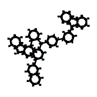 c1cc(-c2ccc(N(c3ccc(-c4ccc5ccccc5c4)cc3)c3ccccc3-c3cccc4sc5ccccc5c34)cc2)cc(-n2c3ccccc3c3ccccc32)c1